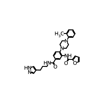 Cc1ccccc1N1CCN(c2ccc(C(=O)NCCCc3cn[nH]c3)cc2NC(=O)c2ccco2)CC1